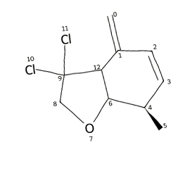 C=C1C=C[C@@H](C)C2OCC(Cl)(Cl)C12